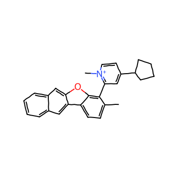 Cc1ccc2c(oc3cc4ccccc4cc32)c1-c1cc(C2CCCC2)cc[n+]1C